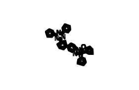 c1ccc(-c2nc(-c3ccccc3)nc(-c3cccc(-c4ccc5c(c4)nc4n(-c6ccccc6)c6c7ccccc7oc6n54)c3)n2)cc1